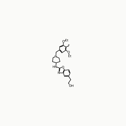 CCOc1cc(CN2CCC(Nc3nc4cc(CCO)ccc4o3)CC2)cc(OCC)c1F